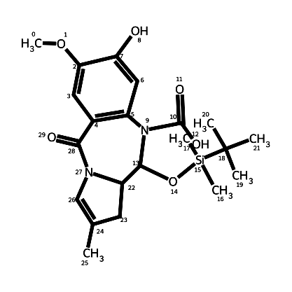 COc1cc2c(cc1O)N(C(=O)O)C(O[Si](C)(C)C(C)(C)C)C1CC(C)=CN1C2=O